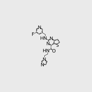 O=C(NCCn1ccnc1)c1nc(NCc2cncc(F)c2)nc2ccsc12